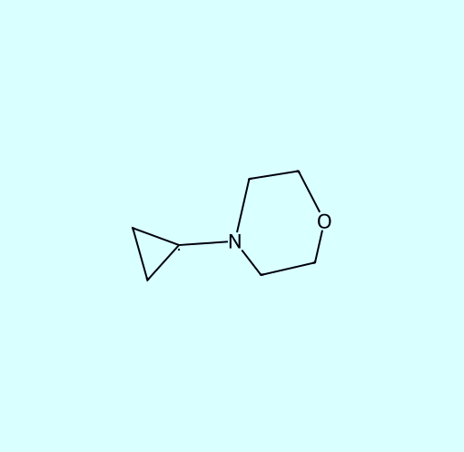 C1CN([C]2CC2)CCO1